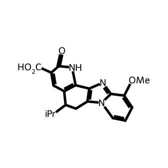 COc1cccn2c3c(nc12)-c1[nH]c(=O)c(C(=O)O)cc1C(C(C)C)C3